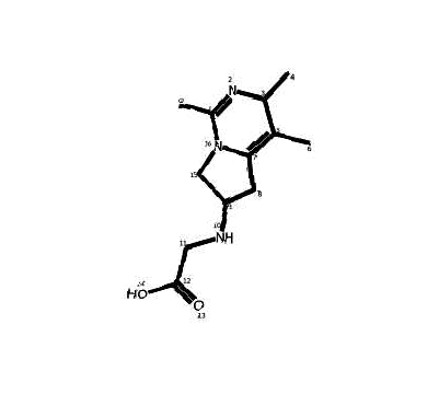 CC1=NC(C)C(C)=C2CC(NCC(=O)O)CN12